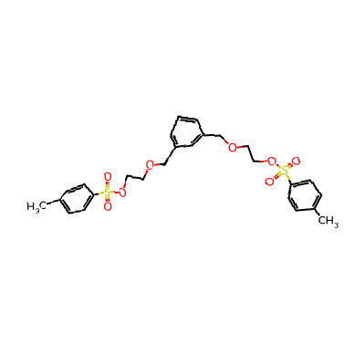 Cc1ccc(S(=O)(=O)OCCOCc2cccc(COCCOS(=O)(=O)c3ccc(C)cc3)c2)cc1